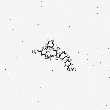 COC1CCN(Cc2cnc3c(C(=O)Nc4cnccc4N4CC(N)CC(C(F)(F)F)C4)c(N)oc3c2)CC1